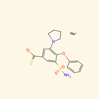 NS(=O)(=O)c1cc(C([O-])=S)cc(N2CCCC2)c1Oc1ccccc1.[Na+]